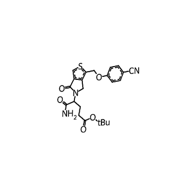 CC(C)(C)OC(=O)CCC(C(N)=O)N1Cc2c(csc2COc2ccc(C#N)cc2)C1=O